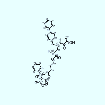 O=C(O)C(=O)N[C@H](Cc1ccc(-c2ccccc2)cc1)C[C@@H](O)C(=O)OCCCCOC1=NO[N+](=O)C1S(=O)(=O)c1ccccc1